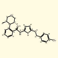 C[C@H]1COC[C@H](C)N1c1cnccc1C(=O)Nc1nnc(OCc2ccc(Cl)cc2)s1